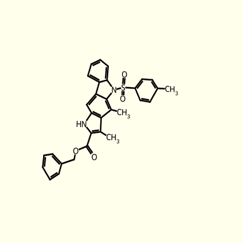 Cc1ccc(S(=O)(=O)n2c3ccccc3c3cc4[nH]c(C(=O)OCc5ccccc5)c(C)c4c(C)c32)cc1